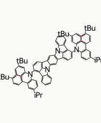 CC(C)c1ccc(N(c2cccc(C(C)(C)C)c2)c2ccc3c4cc5c(cc4n4c6ccccc6c2c34)c2ccc(N(c3cccc(C(C)(C)C)c3)c3ccc(C(C)C)cc3-c3ccc(C(C)(C)C)cc3)c3c4ccccc4n5c23)c(-c2ccc(C(C)(C)C)cc2)c1